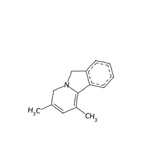 CC1=CC(C)=C2c3ccccc3CN2C1